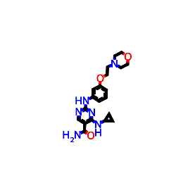 NC(=O)c1cnc(Nc2cccc(OCCN3CCOCC3)c2)nc1NC1CC1